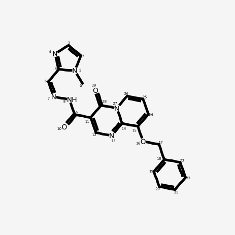 Cn1ccnc1/C=N\NC(=O)c1cnc2c(OCc3ccccc3)cccn2c1=O